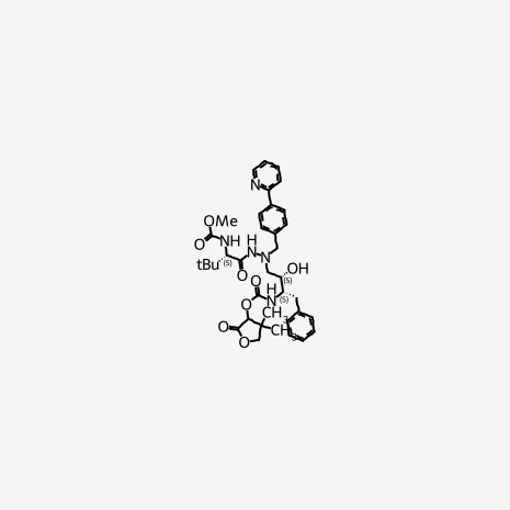 COC(=O)N[C@H](C(=O)NN(Cc1ccc(-c2ccccn2)cc1)C[C@H](O)[C@H](Cc1ccccc1)NC(=O)OC1C(=O)OCC1(C)C)C(C)(C)C